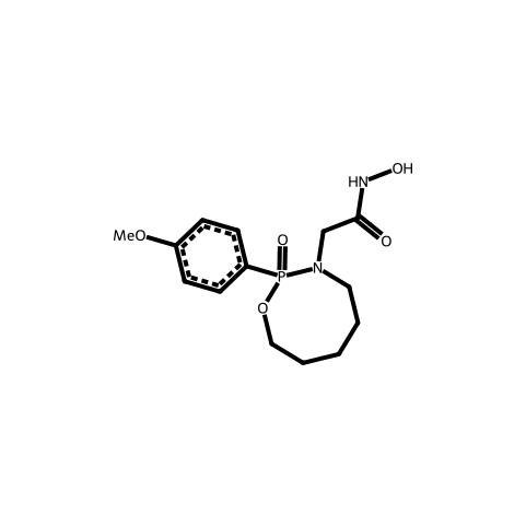 COc1ccc(P2(=O)OCCCCCN2CC(=O)NO)cc1